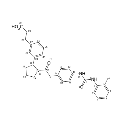 Cc1ccccc1NC(=O)Nc1ccc(CC(=O)N2CCCC2c2cccc(CCC(=O)O)c2)cc1